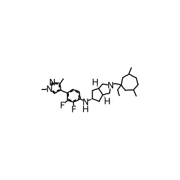 CCC1(CN2C[C@H]3C[C@@H](Nc4ccc(-c5cn(C)nc5C)c(F)c4F)C[C@H]3C2)CC(C)CCC(C)C1